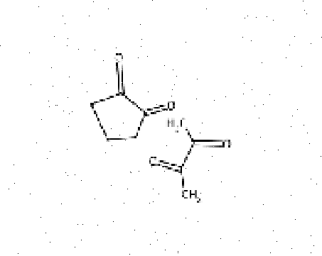 CC(=O)C(C)=O.O=C1CCCC1=O